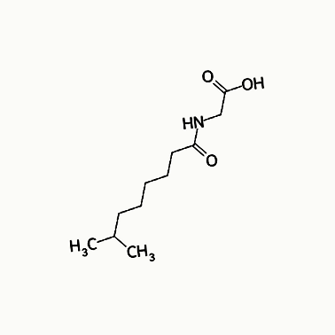 CC(C)CCCCCC(=O)NCC(=O)O